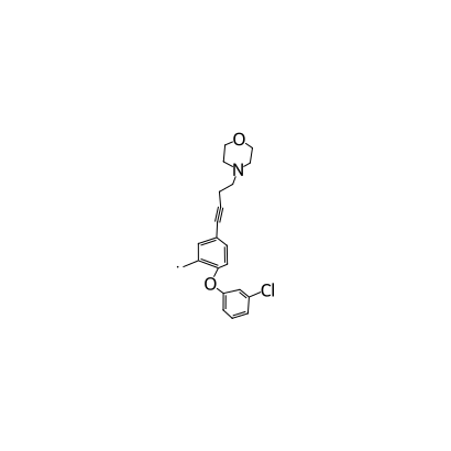 [CH2]c1cc(C#CCCN2CCOCC2)ccc1Oc1cccc(Cl)c1